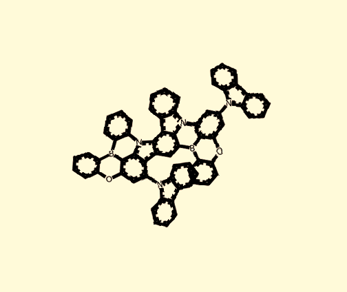 c1ccc2c(c1)Oc1cc(-n3c4ccccc4c4ccccc43)cc3c1B2c1cc2c4c(-n5c6ccccc6c6ccccc65)cc5c6c4n(c2c2c4ccccc4n-3c12)-c1ccccc1B6c1ccccc1O5